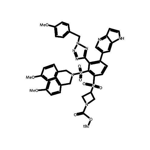 COc1ccc(CN(Cc2ccc(OC)cc2)S(=O)(=O)c2c(S(=O)(=O)C3CN(C(=O)OC(C)(C)C)C3)ccc(-c3cnc4cc[nH]c4c3)c2-c2nnn(Cc3ccc(OC)cc3)n2)cc1